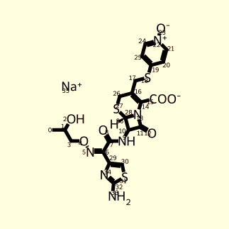 CC(O)CO/N=C(\C(=O)NC1C(=O)N2C(C(=O)[O-])=C(CSc3cc[n+]([O-])cc3)CS[C@@H]12)c1csc(N)n1.[Na+]